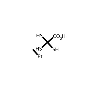 CCC.O=C(O)C(S)(S)S